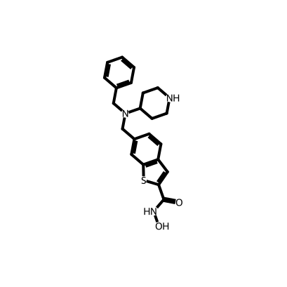 O=C(NO)c1cc2ccc(CN(Cc3ccccc3)C3CCNCC3)cc2s1